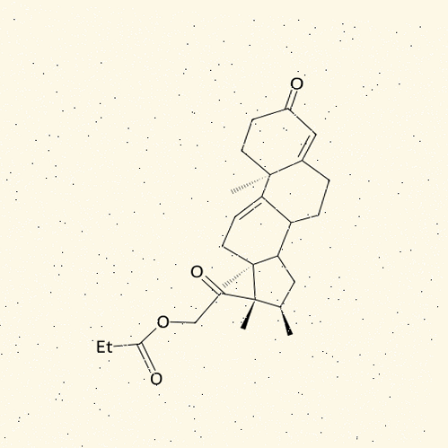 CCC(=O)OCC(=O)[C@@]1(C)[C@H](C)CC2C3CCC4=CC(=O)CC[C@]4(C)C3=CC[C@@]21C